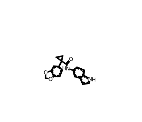 O=C(Nc1ccc2[nH]ccc2c1)C1(c2ccc3c(c2)OCO3)CC1